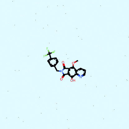 COc1c2c(c(O)c3ncccc13)C(=O)N(Cc1ccc(C(F)(F)F)cc1)C2=O